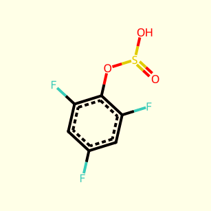 O=S(O)Oc1c(F)cc(F)cc1F